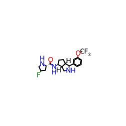 O=C(N[C@H]1CC[C@@H]2C(c3cccc(OC(F)(F)F)c3)NC[C@H]12)[C@@H]1C[C@@H](F)CN1